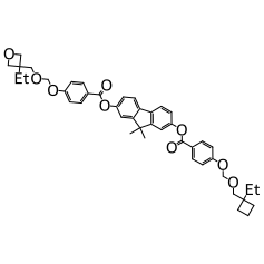 CCC1(COCOc2ccc(C(=O)Oc3ccc4c(c3)C(C)(C)c3cc(OC(=O)c5ccc(OCOCC6(CC)COC6)cc5)ccc3-4)cc2)CCC1